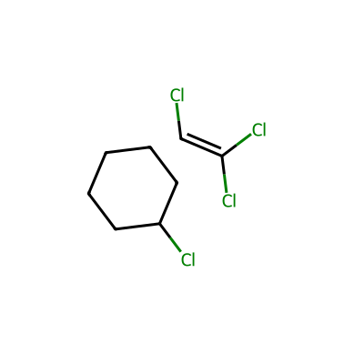 ClC1CCCCC1.ClC=C(Cl)Cl